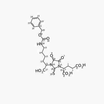 O=C(O)CC[C@@H](C(=O)O)N1C(=O)C(=O)N(C(CCCCNC(=O)OCc2ccccc2)C(=O)O)C1=S